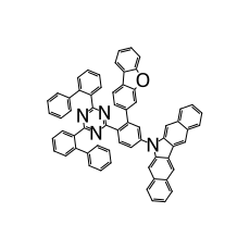 c1ccc(-c2ccccc2-c2nc(-c3ccccc3-c3ccccc3)nc(-c3ccc(-n4c5cc6ccccc6cc5c5cc6ccccc6cc54)cc3-c3ccc4c(c3)oc3ccccc34)n2)cc1